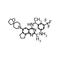 Cc1nc(NC(C)c2cc(N)cc(C(F)(F)F)c2)c2cc(N3CCC4(CCCO4)CC3)c3c(c2n1)CCC3